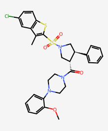 COc1ccccc1N1CCN(C(=O)[C@@H]2CN(S(=O)(=O)c3sc4ccc(Cl)cc4c3C)C[C@H]2c2ccccc2)CC1